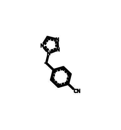 N#Cc1ccc([CH]n2ncnn2)cc1